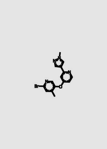 Cc1cc(Br)ncc1Oc1ccnc(-c2cnn(C)c2)c1